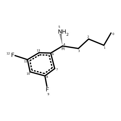 CCCC[C@@H](N)c1cc(F)cc(F)c1